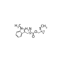 CSC1(COC(=O)[C@H](N)Cc2cn(C)c3ccccc23)CC1